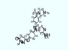 CCNc1cc2c(cn1)c(-c1ccc(C3(N4CCN(C)CC4)CC3)cc1)nn2C1CCC(Oc2ccc(=O)n(C)n2)CC1